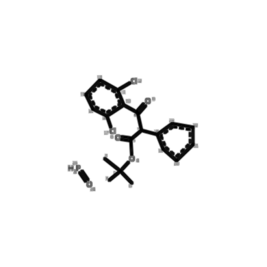 CC(C)(C)OC(=O)C(C(=O)c1c(Cl)cccc1Cl)c1ccccc1.O=[PH3]